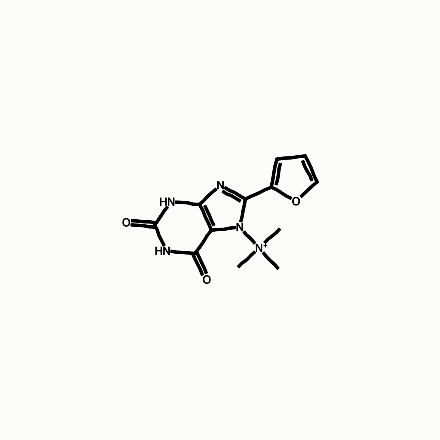 C[N+](C)(C)n1c(-c2ccco2)nc2[nH]c(=O)[nH]c(=O)c21